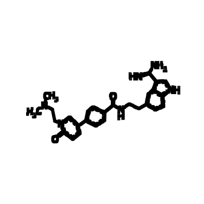 CN(C)CCn1cc(-c2ccc(C(=O)NCCc3ccc4[nH]cc(C(=N)N)c4c3)cc2)ccc1=O